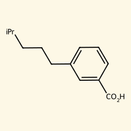 CC(C)CCCc1cccc(C(=O)O)c1